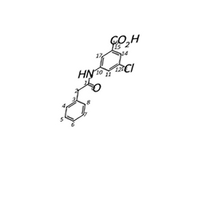 O=C(Cc1ccccc1)Nc1cc(Cl)cc(C(=O)O)c1